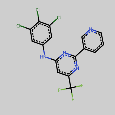 FC(F)(F)c1cc(Nc2cc(Cl)c(Cl)c(Cl)c2)nc(-c2cccnc2)n1